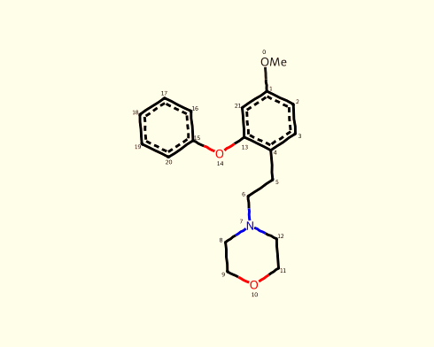 COc1ccc(CCN2CCOCC2)c(Oc2ccccc2)c1